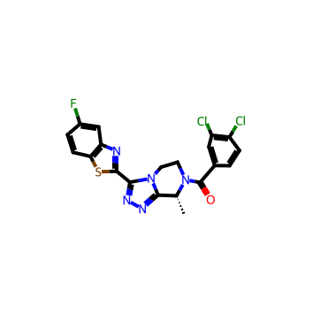 C[C@@H]1c2nnc(-c3nc4cc(F)ccc4s3)n2CCN1C(=O)c1ccc(Cl)c(Cl)c1